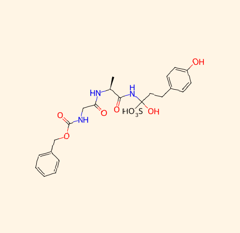 C[C@H](NC(=O)CNC(=O)OCc1ccccc1)C(=O)NC(O)(CCc1ccc(O)cc1)S(=O)(=O)O